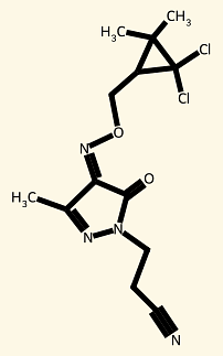 CC1=NN(CCC#N)C(=O)C1=NOCC1C(C)(C)C1(Cl)Cl